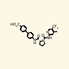 Cc1cc(NC(=O)N2CCC[C@@H]2C(=O)Nc2ccc(-c3ccc(C(=O)O)cc3)cc2)ncc1C(F)(F)F